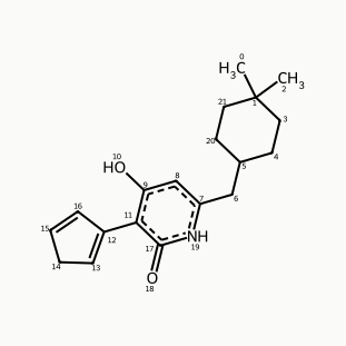 CC1(C)CCC(Cc2cc(O)c(C3=CCC=C3)c(=O)[nH]2)CC1